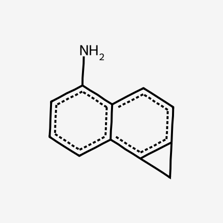 Nc1cccc2c3c(ccc12)C3